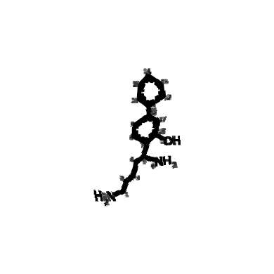 NCCCCC(N)c1ccc(-c2ccccc2)cc1O